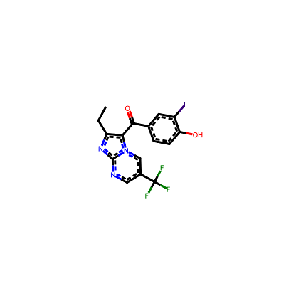 CCc1nc2ncc(C(F)(F)F)cn2c1C(=O)c1ccc(O)c(I)c1